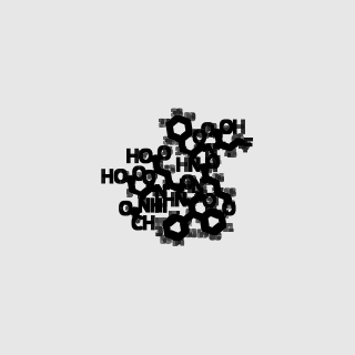 CC(=O)N[C@@H](CC(=O)O)C(=O)NC(CCC(=O)O)C(=O)NC(C(=O)NC(CCC=O)C(=O)N[C@@H](CC1CCCCC1)C(=O)NC(CCF)C(=O)O)C(c1ccccc1)c1ccccc1